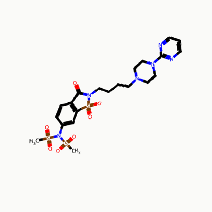 CS(=O)(=O)N(c1ccc2c(c1)S(=O)(=O)N(CCCCN1CCN(c3ncccn3)CC1)C2=O)S(C)(=O)=O